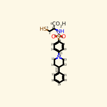 O=C(O)[C@H](CS)NS(=O)(=O)c1ccc(N2CCC(c3ccccc3)CC2)cc1